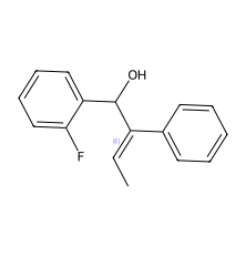 C/C=C(\c1ccccc1)C(O)c1ccccc1F